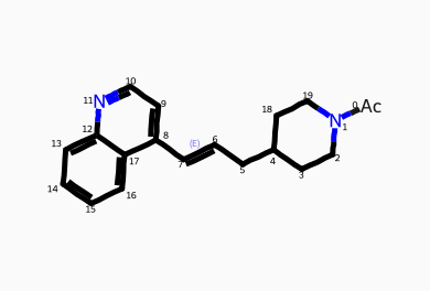 CC(=O)N1CCC(C/C=C/c2ccnc3ccccc23)CC1